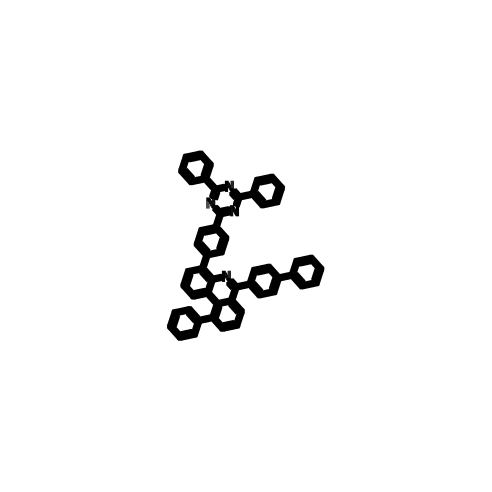 c1ccc(-c2ccc(-c3nc4c(-c5ccc(-c6nc(-c7ccccc7)nc(-c7ccccc7)n6)cc5)cccc4c4c(-c5ccccc5)cccc34)cc2)cc1